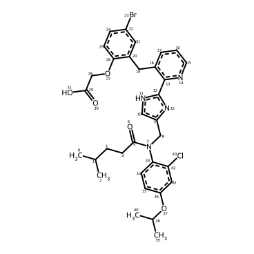 CC(C)CCC(=O)N(Cc1c[nH]c(-c2ncccc2Cc2cc(Br)ccc2OCC(=O)O)n1)c1ccc(OC(C)C)cc1Cl